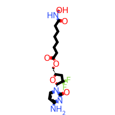 Nc1ccn([C@@H]2O[C@H](COC(=O)CCCCCCC(=O)NO)CC2(F)F)c(=O)n1